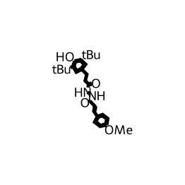 COc1ccc(/C=C/C(=O)NNC(=O)CCc2cc(C(C)(C)C)c(O)c(C(C)(C)C)c2)cc1